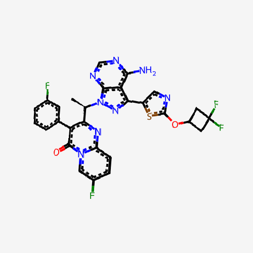 C[C@H](c1nc2ccc(F)cn2c(=O)c1-c1cccc(F)c1)n1nc(-c2cnc(OC3CC(F)(F)C3)s2)c2c(N)ncnc21